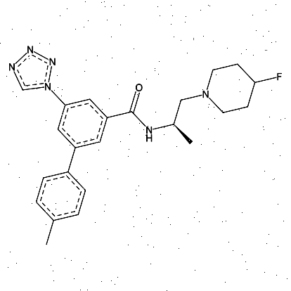 Cc1ccc(-c2cc(C(=O)N[C@H](C)CN3CCC(F)CC3)cc(-n3cnnn3)c2)cc1